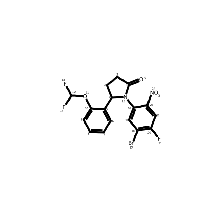 O=C1CCC(c2ccccc2OC(F)F)N1c1cc(Br)c(F)cc1[N+](=O)[O-]